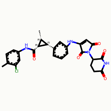 Cc1ccc(NC(=O)[C@@H]2[C@H](C)[C@@H]2c2cccc(NC3=CC(=O)N(C4CCC(=O)NC4=O)C3=O)c2)cc1Cl